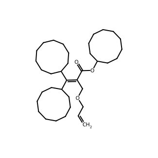 C=CCOCC(C(=O)OC1CCCCCCCCC1)=C(C1CCCCCCCCC1)C1CCCCCCCCC1